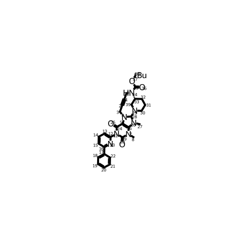 CC#CCN1c2c(n(C)c(=O)n(-c3cccc(-c4ccccc4)n3)c2=O)N(C)C1N1CCC[C@@H](NC(=O)OC(C)(C)C)C1